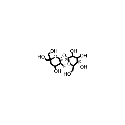 OCC1O[C@H](O[C@H]2OC(CO)(CO)CC(O)C2F)C(O)C(O)[C@@H]1O